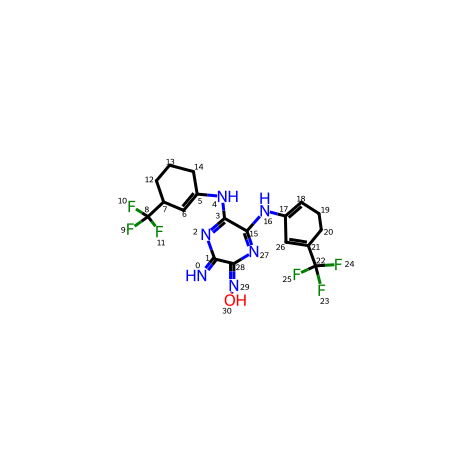 N=C1N=C(NC2=CC(C(F)(F)F)CCC2)C(NC2=CCCC(C(F)(F)F)=C2)=N/C1=N/O